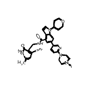 CCCc1cc(C)[nH]c(=O)c1CNC(=O)c1cc(-c2ccc(N3CCN(I)CC3)nc2)cc2c1ccn2C1CCOCC1